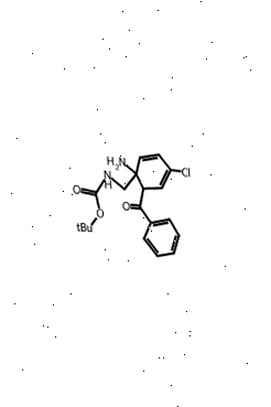 CC(C)(C)OC(=O)NCC1(N)C=CC(Cl)=CC1C(=O)c1ccccc1